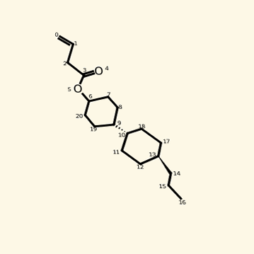 C=CCC(=O)OC1CCC([C@H]2CC[C@H](CCC)CC2)CC1